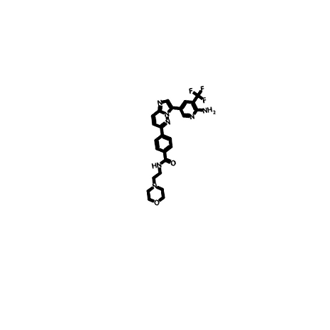 Nc1ncc(-c2cnc3ccc(-c4ccc(C(=O)NCCN5CCOCC5)cc4)nn23)cc1C(F)(F)F